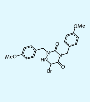 COc1ccc(CN2NC(Br)C(=O)N(Cc3ccc(OC)cc3)C2=O)cc1